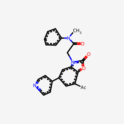 CC(=O)c1cc(-c2ccncc2)cc2c1oc(=O)n2CC(=O)N(C)c1ccccc1